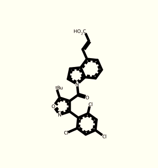 CC(C)(C)c1onc(-c2c(Cl)cc(Cl)cc2Cl)c1C(=O)n1ccc2c(/C=C/C(=O)O)cccc21